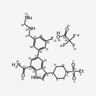 CCS(=O)(=O)N1CCC(c2c[nH]c3c(C(N)=O)cc(-c4cc(F)cc(CNCC(C)(C)C)c4)cc23)CC1.O=C(O)C(F)(F)F